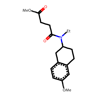 CCN(C(=O)CCC(=O)OC)C1CCc2cc(OC)ccc2C1